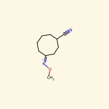 CO/N=C1/CCCCC(C#N)CC1